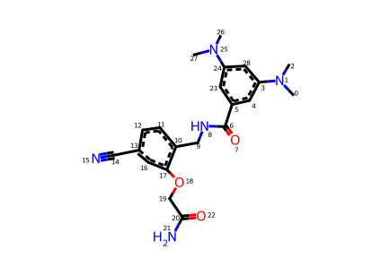 CN(C)c1cc(C(=O)NCc2ccc(C#N)cc2OCC(N)=O)cc(N(C)C)c1